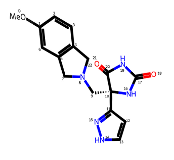 COc1ccc2c(c1)CN(C[C@@]1(c3cc[nH]n3)NC(=O)NC1=O)C2